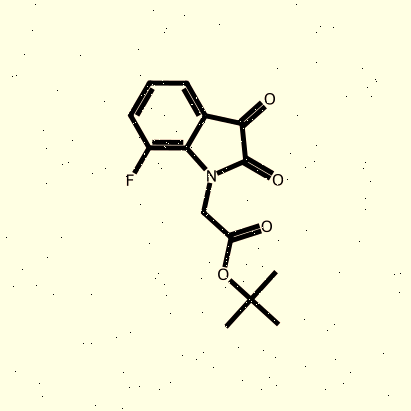 CC(C)(C)OC(=O)CN1C(=O)C(=O)c2cccc(F)c21